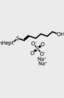 CCCCCCCSC=CCCCCO.O=S(=O)([O-])[O-].[Na+].[Na+]